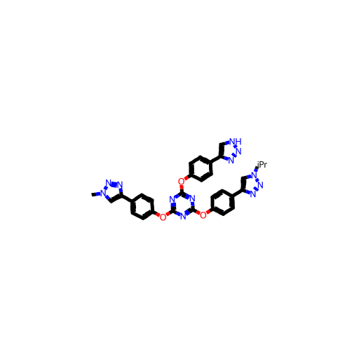 CC(C)n1cc(-c2ccc(Oc3nc(Oc4ccc(-c5c[nH]nn5)cc4)nc(Oc4ccc(-c5cn(C)nn5)cc4)n3)cc2)nn1